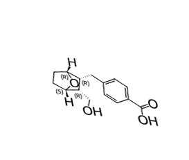 O=C(O)c1ccc(C[C@@H]2[C@H](CO)[C@@H]3CC[C@H]2O3)cc1